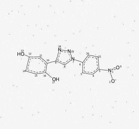 O=[N+]([O-])c1ccc(-n2cc(-c3cc(O)ccc3O)nn2)cc1